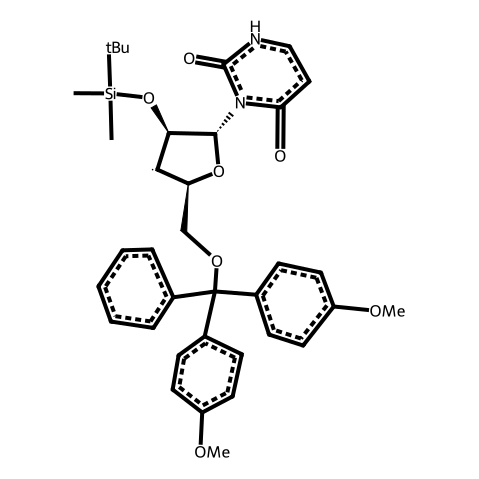 COc1ccc(C(OC[C@H]2[CH][C@@H](O[Si](C)(C)C(C)(C)C)[C@H](n3c(=O)cc[nH]c3=O)O2)(c2ccccc2)c2ccc(OC)cc2)cc1